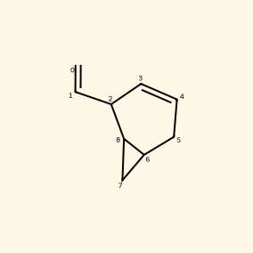 C=CC1C=CCC2CC12